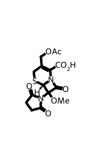 COC1(N2C(=O)CCC2=O)C(=O)N2C(C(=O)O)=C(COC(C)=O)CS[C@H]21